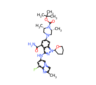 Cc1cn2cc(Nc3nn(C4CCCCO4)c4cc(N5C[C@@H](C)N(C(=O)OC(C)(C)C)[C@@H](C)C5)cc(C(N)=O)c34)cc(F)c2n1